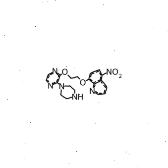 O=[N+]([O-])c1ccc(OCCOc2nccnc2N2CCNCC2)c2ncccc12